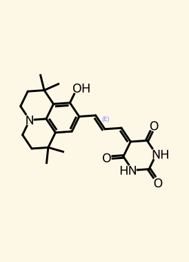 CC1(C)CCN2CCC(C)(C)c3c(O)c(/C=C/C=C4C(=O)NC(=O)NC4=O)cc1c32